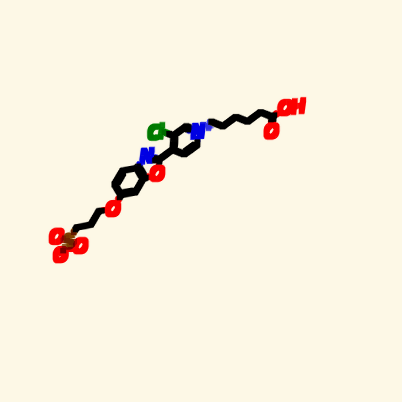 O=C(O)CCCCC[n+]1ccc(-c2nc3ccc(OCCCS(=O)(=O)[O-])cc3o2)c(Cl)c1